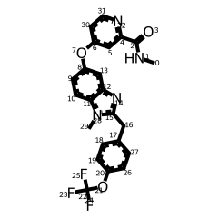 CNC(=O)c1cc(Oc2ccc3c(c2)nc(Cc2ccc(OC(F)(F)F)cc2)n3C)ccn1